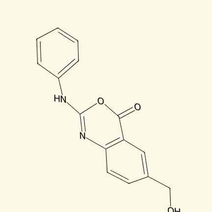 O=c1oc(Nc2ccccc2)nc2ccc(CO)cc12